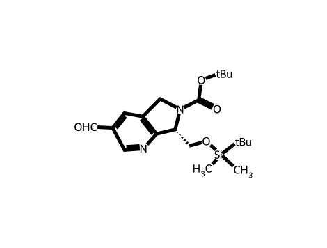 CC(C)(C)OC(=O)N1Cc2cc(C=O)cnc2[C@H]1CO[Si](C)(C)C(C)(C)C